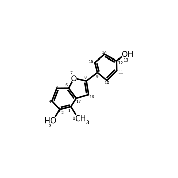 Cc1c(O)ccc2oc(-c3ccc(O)cc3)cc12